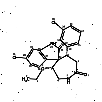 CCO[C@H]1CNC(=O)C[C@@H](c2cccc(Cl)c2)[C@]12C(=O)Nc1cc(Cl)ccc12